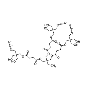 CCC(COC(=O)CCC(=O)OCC(CO)(CO)CN=[N+]=[N-])(COC(=O)CCC(=O)OCC(CO)(CO)CN=[N+]=[N-])COC(=O)CCC(=O)OCC(CO)(CO)CN=[N+]=[N-]